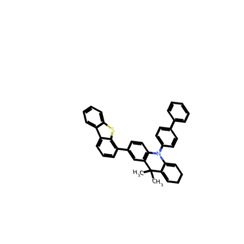 CC1(C)C2=CCCC=C2N(c2ccc(-c3ccccc3)cc2)c2ccc(-c3cccc4c3sc3ccccc34)cc21